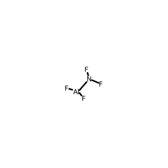 F[N](F)[Al]([F])[F]